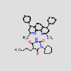 CCCCC1C(=O)NC(=O)N(C2CCCCC2)C1=O.Cc1cc(-c2ccccc2)c2ccc3c(-c4ccccc4)cc(C)nc3c2n1